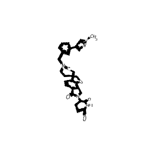 Cn1cc(-c2cccc(CN3CCC4(CC3)COc3c4ccc4c3CN(C3CCC(=O)NC3=O)C4=O)c2)cn1